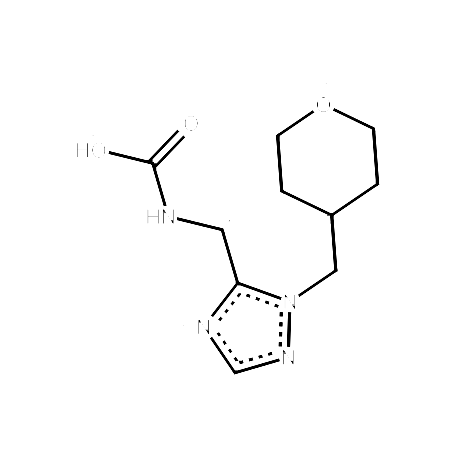 O=C(O)NCc1ncnn1CC1CCOCC1